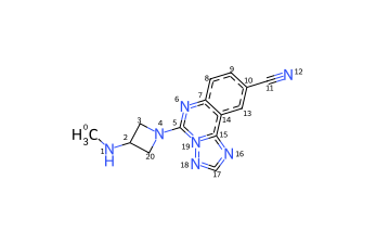 CNC1CN(c2nc3ccc(C#N)cc3c3ncnn23)C1